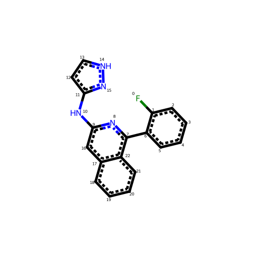 Fc1ccccc1-c1nc(Nc2cc[nH]n2)cc2ccccc12